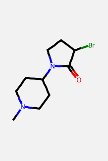 CN1CCC(N2CCC(Br)C2=O)CC1